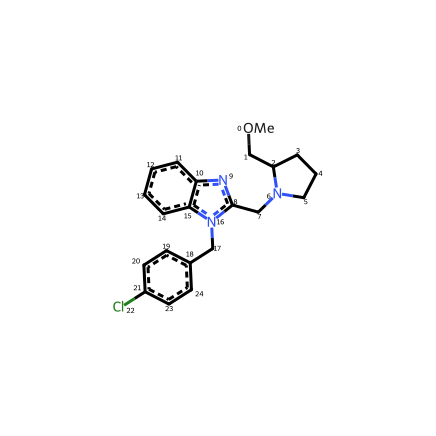 COCC1CCCN1Cc1nc2ccccc2n1Cc1ccc(Cl)cc1